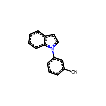 N#Cc1cccc(-n2ccc3ccccc32)c1